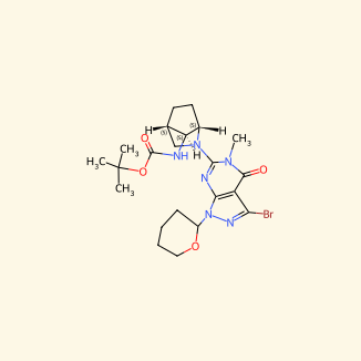 Cn1c(N2C[C@@H]3CC[C@H]2[C@H]3NC(=O)OC(C)(C)C)nc2c(c(Br)nn2C2CCCCO2)c1=O